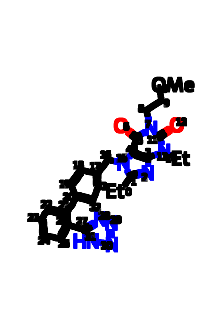 CCc1nc2c(c(=O)n(CCOC)c(=O)n2CC)n1Cc1ccc(-c2ccccc2-c2nnn[nH]2)cc1